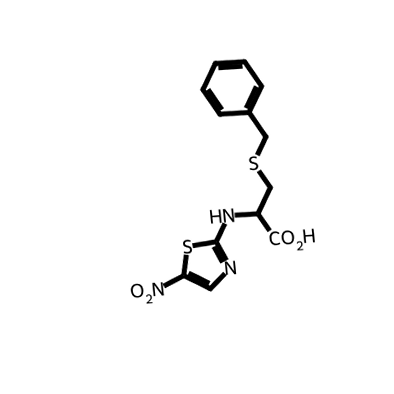 O=C(O)C(CSCc1ccccc1)Nc1ncc([N+](=O)[O-])s1